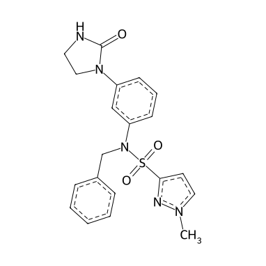 Cn1ccc(S(=O)(=O)N(Cc2ccccc2)c2cccc(N3CCNC3=O)c2)n1